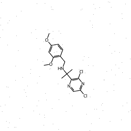 COc1ccc(CNC(C)(C)c2ncc(Cl)nc2Cl)c(OC)c1